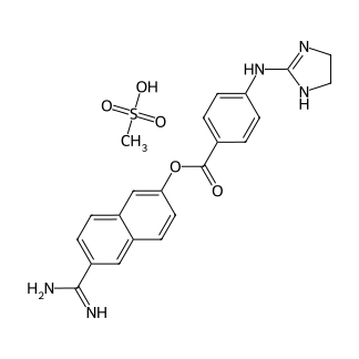 CS(=O)(=O)O.N=C(N)c1ccc2cc(OC(=O)c3ccc(NC4=NCCN4)cc3)ccc2c1